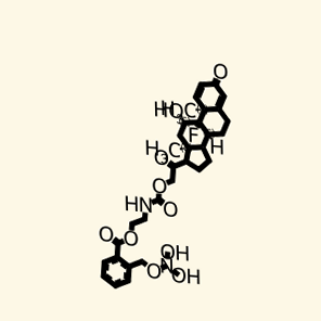 C[C@]12C[C@H](O)C3(F)[C@@H](CCC4=CC(=O)C=C[C@@]43C)C1CCC2C(=O)COC(=O)NCCOC(=O)c1ccccc1CON(O)O